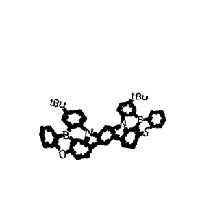 CC(C)(C)c1ccc2c(c1)B1c3ccccc3Oc3ccc4c5cc6c7ccc8c9c7n(c6cc5n-2c4c31)-c1ccc(C(C)(C)C)cc1B9c1ccccc1S8